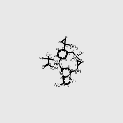 CS(=O)(=O)Cc1cc(Nc2cc(NC3CC3)n3ncc(C#N)c3n2)ccc1C1(N)CC1.O=C(O)C(F)(F)F